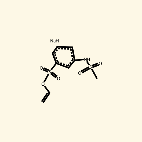 C=COS(=O)(=O)c1cccc(NS(C)(=O)=O)c1.[NaH]